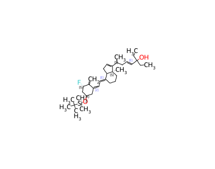 C=C1/C(=C\C=C2/CCC[C@]3(C)C([C@@H](C)C/C=C/C(O)(CC)CC)=CCC23)C[C@@H](O[Si](C)(C)C(C)(C)C)C[C@@H]1F